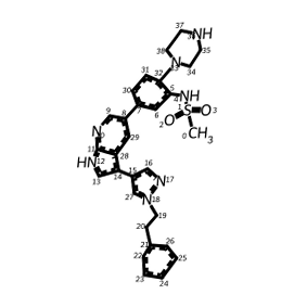 CS(=O)(=O)Nc1cc(-c2cnc3[nH]cc(-c4cnn(CCc5ccccc5)c4)c3c2)ccc1N1CCNCC1